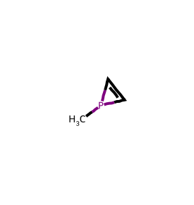 CP1C=C1